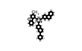 Cc1cc(-c2nc(-c3ccc4cc(-c5ccccc5)ccc4c3)nc(-c3ccc4c(ccc5ccccc54)c3)n2)c2c(c1)oc1ccccc12